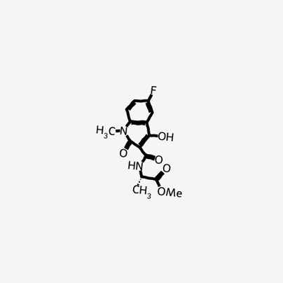 COC(=O)[C@H](C)NC(=O)c1c(O)c2cc(F)ccc2n(C)c1=O